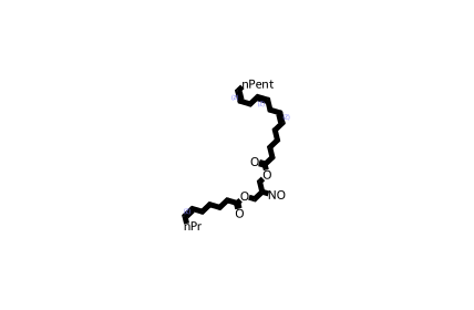 CCC/C=C\CCCCC(=O)OCC(COC(=O)CCCC/C=C\C/C=C\C/C=C\CCCCC)N=O